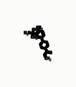 C=CC(=O)N1CCN(c2ccc(C)c(C(C)(C)C)c2)CC1